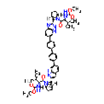 COC(=O)N[C@H](C(=O)N1[C@@H]2CC[C@@H](C2)[C@H]1c1cc2ccc(-c3ccc(-c4ccc(-c5ccc6nc([C@@H]7[C@H]8CC[C@H](C8)N7C(=O)[C@@H](NC(=O)OC)C(C)C)[nH]c6c5)cc4)cc3)cc2[nH]1)C(C)C